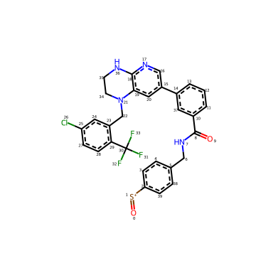 O=[S+]c1ccc(CNC(=O)c2cccc(-c3cnc4c(c3)N(Cc3cc(Cl)ccc3C(F)(F)F)CCN4)c2)cc1